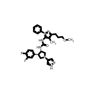 COCCCc1nn(-c2ccccc2)c(NC(=O)N[C@@H]2CN(c3cn[nH]c3)C[C@H]2c2ccc(F)c(F)c2)c1C